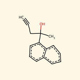 C#CCC(C)(O)c1cccc2ccccc12